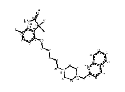 Cc1ccc(OCCCCCN2CCN(Cc3ccc4ccccc4n3)CC2)c2c1NC(=O)C2(C)C